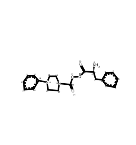 N[C@@H](Cc1ccccc1)C(=O)OOC(=O)N1CCN(c2ccccc2)CC1